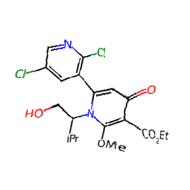 CCOC(=O)c1c(OC)n(C(CO)C(C)C)c(-c2cc(Cl)cnc2Cl)cc1=O